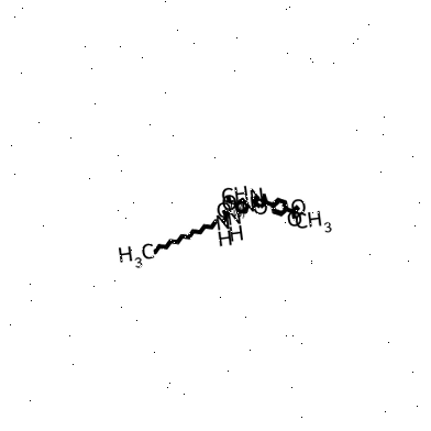 CCCCCCCCCCCCCNC(=O)N[C@H]1CN(c2ncc(-c3ccc(C(=O)OC)cc3)o2)C[C@@H]1OC